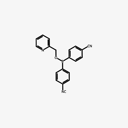 [C-]#[N+]c1ccc(B(OCc2ccccn2)c2ccc(C#N)cc2)cc1